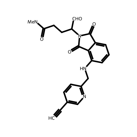 C#Cc1ccc(CNc2cccc3c2C(=O)N(C(C=O)CCC(=O)NC)C3=O)nc1